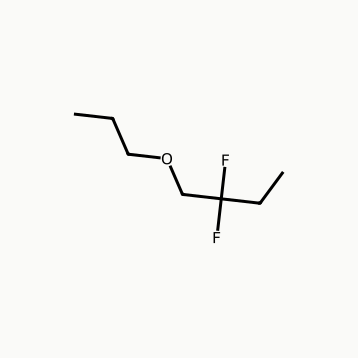 CCCOCC(F)(F)CC